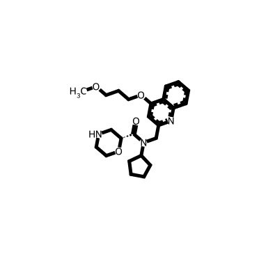 COCCCOc1cc(CN(C(=O)[C@H]2CNCCO2)C2CCCC2)nc2ccccc12